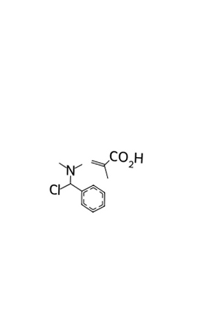 C=C(C)C(=O)O.CN(C)C(Cl)c1ccccc1